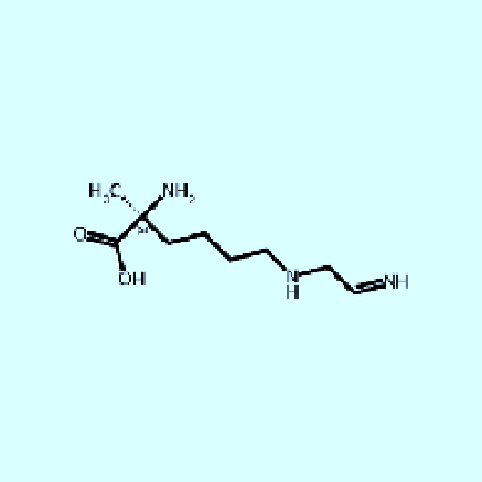 C[C@](N)(CCCCNCC=N)C(=O)O